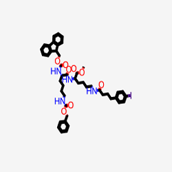 COC(=O)C(CCCCNC(=O)CCCc1ccc(I)cc1)NC(=O)C(CCCCNC(=O)OCc1ccccc1)NC(=O)OCC1c2ccccc2-c2ccccc21